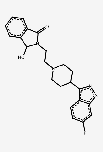 O=C1c2ccccc2C(O)N1CCN1CCC(c2nsc3cc(F)ccc23)CC1